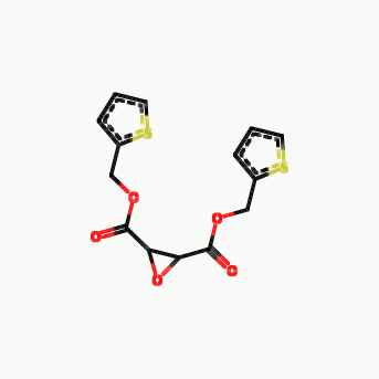 O=C(OCc1cccs1)C1OC1C(=O)OCc1cccs1